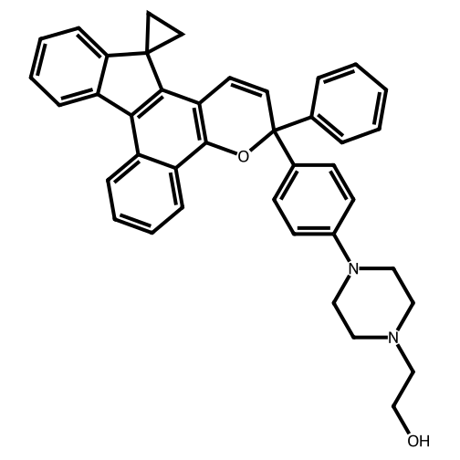 OCCN1CCN(c2ccc(C3(c4ccccc4)C=Cc4c5c(c6ccccc6c4O3)-c3ccccc3C53CC3)cc2)CC1